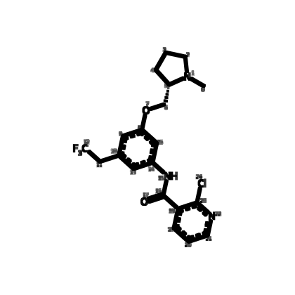 CN1CCC[C@H]1COc1cc(CC(F)(F)F)cc(NC(=O)c2cccnc2Cl)c1